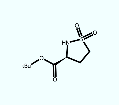 CC(C)(C)OC(=O)[C@@H]1CCS(=O)(=O)N1